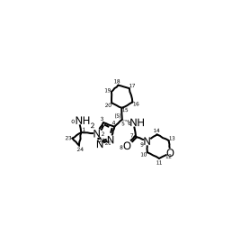 NC1(n2cc([C@@H](NC(=O)N3CCOCC3)C3CCCCC3)nn2)CC1